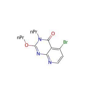 CCCOc1nc2nccc(Br)c2c(=O)n1CCC